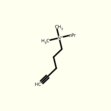 C#CCCC[N+](C)(C)CCC